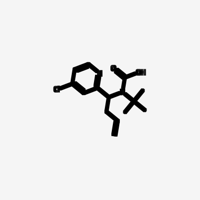 C=CCC(c1cc(Cl)ccn1)N(C(=O)O)C(C)(C)C